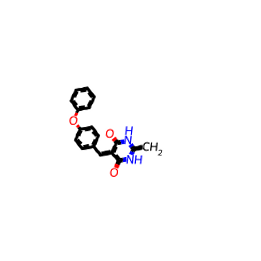 C=c1[nH]c(=O)c(=Cc2ccc(Oc3ccccc3)cc2)c(=O)[nH]1